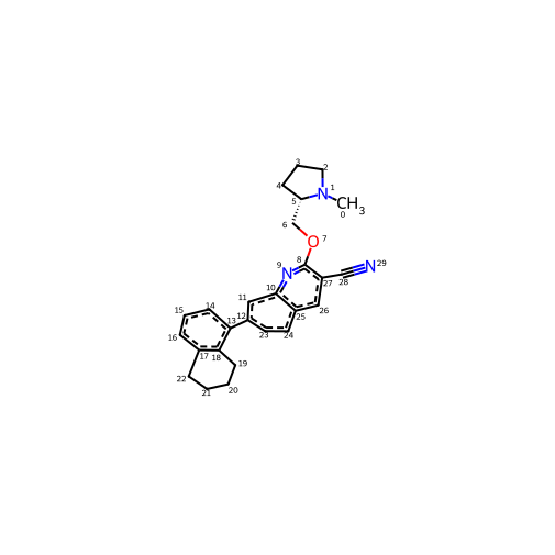 CN1CCC[C@H]1COc1nc2cc(-c3cccc4c3CCCC4)ccc2cc1C#N